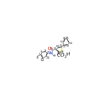 Cc1ccc(N(C)C(=O)c2cc(-c3ccccc3)sc2C(=O)O)cc1